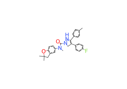 Cc1ccc(C2=C(c3ccc(F)cc3)CN(C(=O)N(C)c3ccc4c(c3)CC(C)(C)O4)N2)cc1